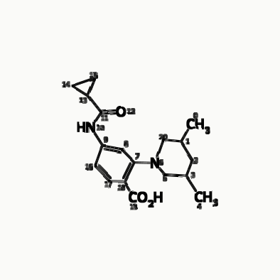 CC1CC(C)CN(c2cc(NC(=O)C3CC3)ccc2C(=O)O)C1